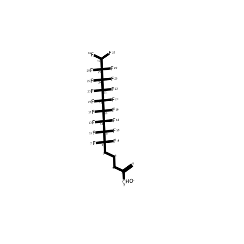 C=C([C]=O)CCCC(F)(F)C(F)(F)C(F)(F)C(F)(F)C(F)(F)C(F)(F)C(F)(F)C(F)(F)C(F)F